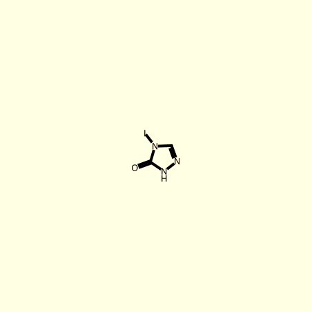 O=c1[nH]ncn1I